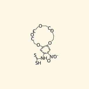 O=[N+]([O-])c1cc2c(cc1NC(=S)S)OCCOCCOCCOCCO2